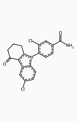 NC(=O)c1ccc(-n2c3c(c4cc(Cl)ccc42)C(=O)CCC3)c(Cl)c1